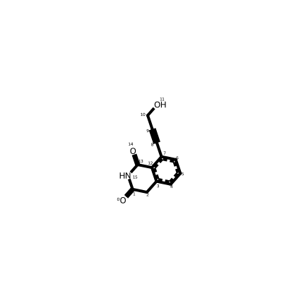 O=C1Cc2cccc(C#CCO)c2C(=O)N1